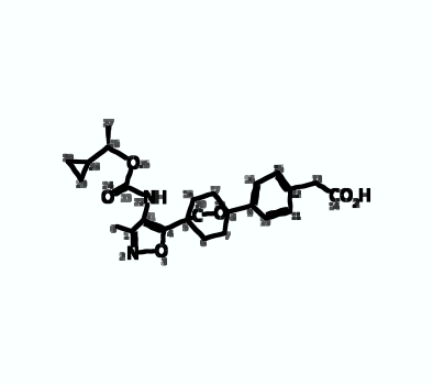 Cc1noc(C23CCC(c4ccc(CC(=O)O)cc4)(CC2)OC3)c1NC(=O)O[C@H](C)C1CC1